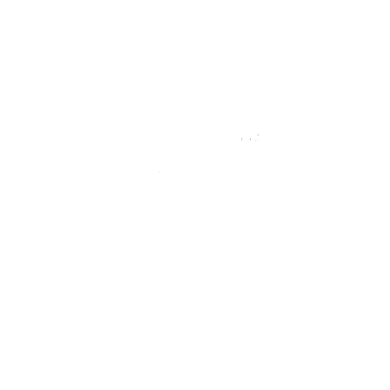 CC(=O)OC1Cc2ccccc2C#Cc2ccccc21